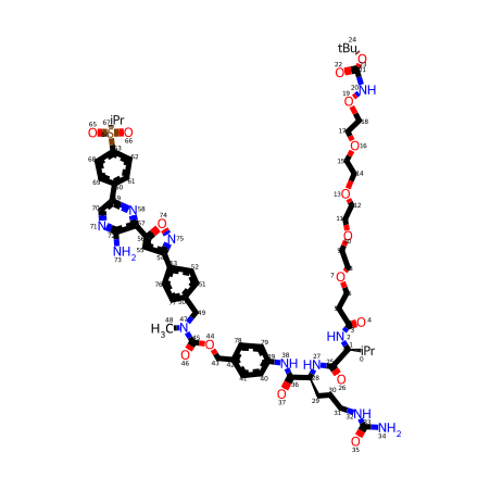 CC(C)[C@H](NC(=O)CCOCCOCCOCCOCCONC(=O)OC(C)(C)C)C(=O)N[C@@H](CCCNC(N)=O)C(=O)Nc1ccc(COC(=O)N(C)Cc2ccc(-c3cc(-c4nc(-c5ccc(S(=O)(=O)C(C)C)cc5)cnc4N)on3)cc2)cc1